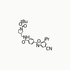 CC(C)c1cc(C#N)cc2nc(-c3ccc(C(=O)NCC4CCN(C(=O)OC(C)(C)C)C4)cc3)oc12